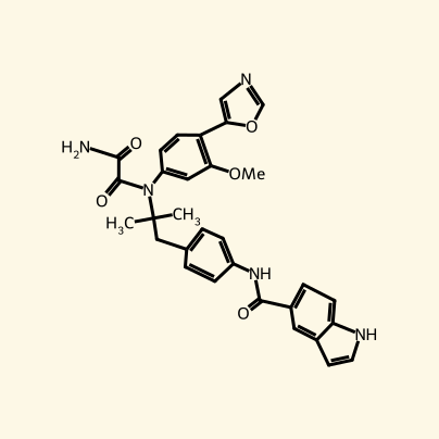 COc1cc(N(C(=O)C(N)=O)C(C)(C)Cc2ccc(NC(=O)c3ccc4[nH]ccc4c3)cc2)ccc1-c1cnco1